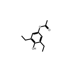 CCc1cc(OC(C)=O)cc(CC)c1O